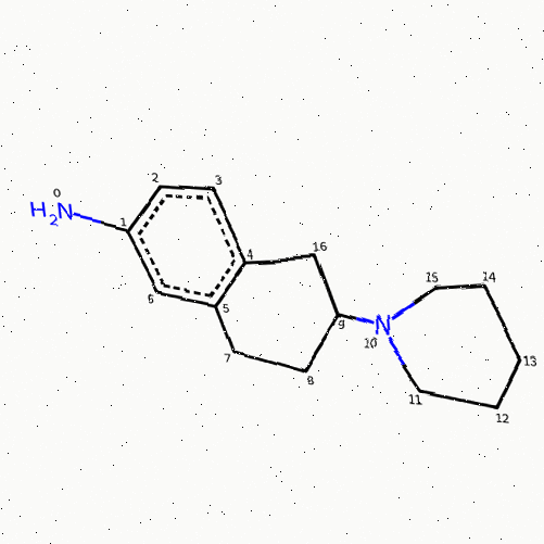 Nc1ccc2c(c1)CCC(N1CCCCC1)C2